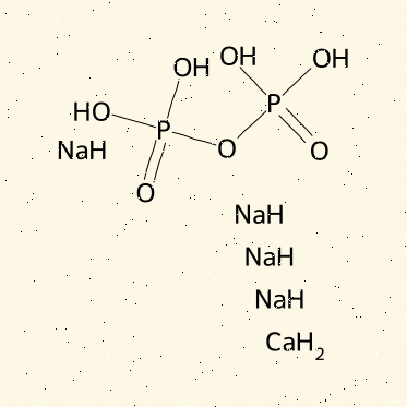 O=P(O)(O)OP(=O)(O)O.[CaH2].[NaH].[NaH].[NaH].[NaH]